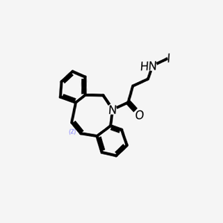 O=C(CCNI)N1Cc2ccccc2/C=C\c2ccccc21